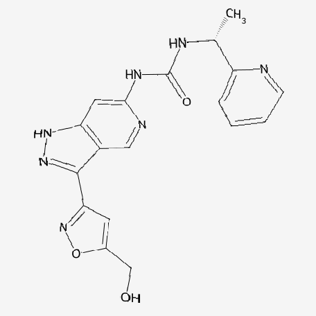 C[C@@H](NC(=O)Nc1cc2[nH]nc(-c3cc(CO)on3)c2cn1)c1ccccn1